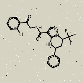 O=C(CNC(=O)c1cnn2c1NC(c1ccccc1)CC2C(F)(F)F)c1ccccc1Cl